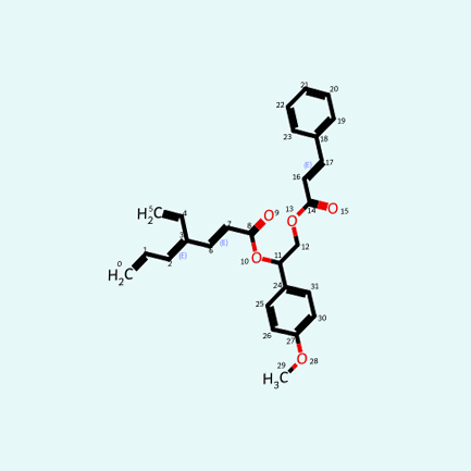 C=C/C=C(C=C)/C=C/C(=O)OC(COC(=O)/C=C/c1ccccc1)c1ccc(OC)cc1